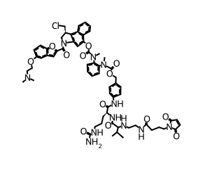 CC(C)C(NCCNC(=O)CCCN1C(=O)C=CC1=O)C(=O)N[C@@H](CCCNC(N)=O)C(=O)Nc1ccc(COC(=O)N(C)c2ccccc2N(C)C(=O)Oc2cc3c(c4ccccc24)[C@H](CCl)CN3C(=O)c2cc3cc(OCCN(C)C)ccc3o2)cc1